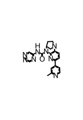 Cc1cc(-c2ccc3c(n2)N(C(=O)Nc2cnncn2)C2CCN3C2)ccn1